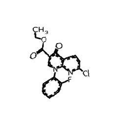 CCOC(=O)c1cn(-c2ccccc2F)c2nc(Cl)ccc2c1=O